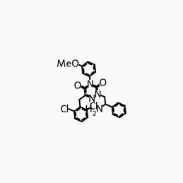 COc1cccc(-n2c(=O)c(Cc3c(Cl)cccc3Cl)nn(CC(N)c3ccccc3)c2=O)c1